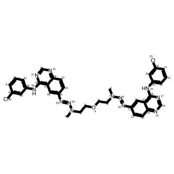 CN(CCOCCN(C)N=Nc1ccc2ncnc(Nc3cccc(Cl)c3)c2c1)N=Nc1ccc2ncnc(Nc3cccc(Cl)c3)c2c1